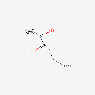 O=CCCC(=O)C(=O)C=O